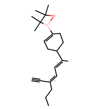 C#C/C(=C\C=C(/C)C1CC=C(B2OC(C)(C)C2(C)C)CC1)CCC